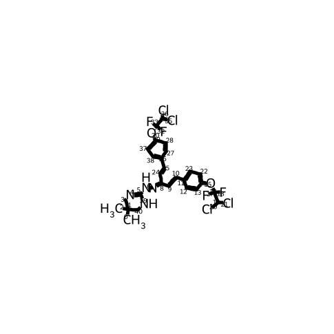 CC1(C)CN=C(NN=C(C=Cc2ccc(OC(F)(F)C(Cl)Cl)cc2)C=Cc2ccc(OC(F)(F)C(Cl)Cl)cc2)NC1